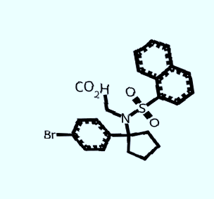 O=C(O)CN(C1(c2ccc(Br)cc2)CCCC1)S(=O)(=O)c1cccc2ccccc12